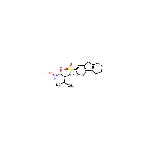 CC(C)C([AsH]S(=O)(=O)c1ccc2c(c1)CC1=C2CCCC1)C(=O)NO